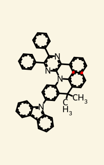 CC1(C)c2ccccc2N(c2nc(-c3ccccc3)c(-c3ccccc3)nc2-c2ccccc2)c2ccc(-n3c4ccccc4c4ccccc43)cc21